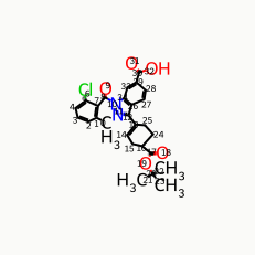 Cc1cccc(Cl)c1C(=O)n1nc(C2=CCC(C(=O)OC(C)(C)C)CC2)c2ccc(C(=O)O)cc21